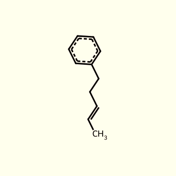 C/C=C/CCc1ccccc1